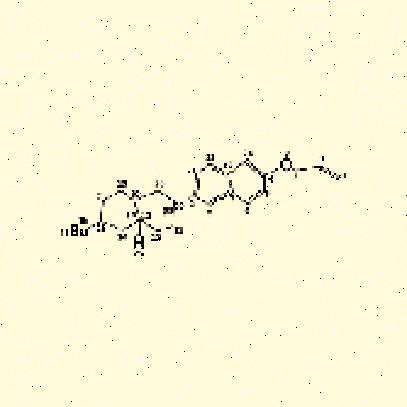 C=CCOc1ccc2cc([C@@H]3CC[C@@H]4CC(CCCC)CCC4C3)ccc2c1